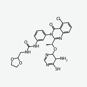 C[C@H](OC1N=CN=C(S)C1N)c1nc2cccc(Cl)c2c(=O)n1-c1cccc(NC(=O)NCC2OCCO2)c1